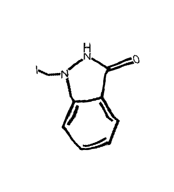 O=c1[nH]n(I)c2ccccc12